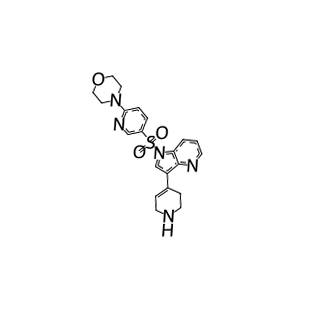 O=S(=O)(c1ccc(N2CCOCC2)nc1)n1cc(C2=CCNCC2)c2ncccc21